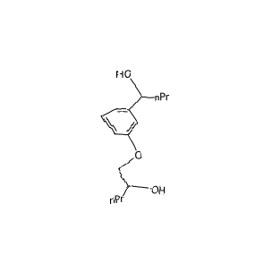 CCCC(O)COc1cccc(C(O)CCC)c1